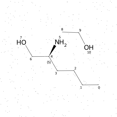 CCCC[C@H](N)CO.CCO